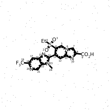 CCS(=O)(=O)c1cn2cc(C(=O)O)nc2cc1-c1nc2cc(C(F)(F)F)ncc2n1C